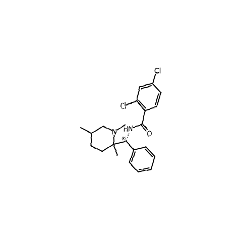 CC1CCC(C)([C@H](NC(=O)c2ccc(Cl)cc2Cl)c2ccccc2)N(C)C1